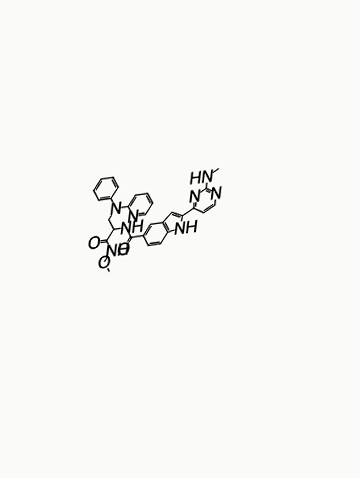 CNc1nccc(-c2cc3cc(C(=O)NC(CN(c4ccccc4)c4ccccn4)C(=O)NOC)ccc3[nH]2)n1